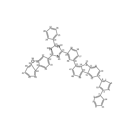 c1ccc(-c2cccc(-c3ccc4sc5c(-c6cccc(-c7nc(-c8ccccc8)nc(-c8ccc9c(c8)oc8ccccc89)n7)c6)cccc5c4c3)c2)cc1